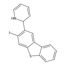 Ic1cc2sc3ccccc3c2cc1C1C=CC=CN1